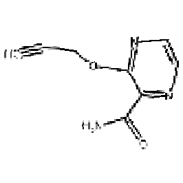 C#CCOc1nccnc1C(N)=O